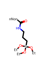 CCCC[CH]CCCCC(=O)NCCC[Si](OCC)(OCC)OCC